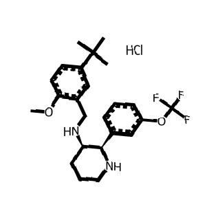 COc1ccc(C(C)(C)C)cc1CN[C@@H]1CCCN[C@@H]1c1cccc(OC(F)(F)F)c1.Cl